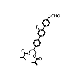 C=C(C)C(=O)OCC(COC(=O)C(=C)C)c1ccc(-c2ccc(-c3ccc(OC=O)cc3)c(F)c2)cc1